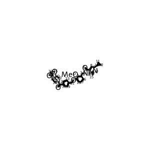 COc1c(CNC(=O)c2cc(C3CC3)nn2C)cccc1OCc1ccc(C(=O)N2CCN(S(C)(=O)=O)CC2)cc1